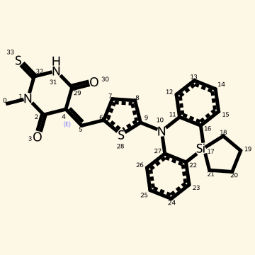 CN1C(=O)/C(=C/c2ccc(N3c4ccccc4[Si]4(CCCC4)c4ccccc43)s2)C(=O)NC1=S